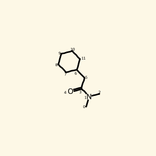 CN(C)C(=O)CC1CCCCC1